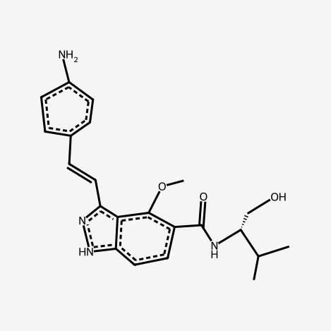 COc1c(C(=O)N[C@H](CO)C(C)C)ccc2[nH]nc(/C=C/c3ccc(N)cc3)c12